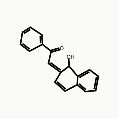 O=C(C=C1C=Cc2ccccc2C1O)c1ccccc1